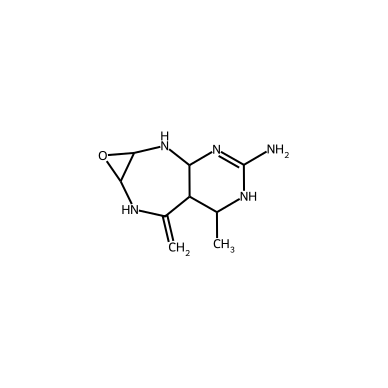 C=C1NC2OC2NC2N=C(N)NC(C)C12